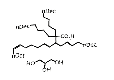 CCCCCCCC/C=C\CCCCCC(CCCCCCCCCCCCCC)C(CCCCCCCCCCCCCC)(CCCCCCCCCCCCCC)C(=O)O.OCC(O)CO